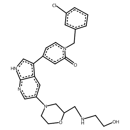 O=c1cc(-c2c[nH]c3ncc(N4CCOC(CNCCO)C4)cc23)ccn1Cc1cccc(Cl)c1